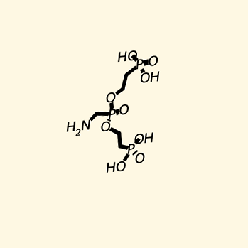 NCP(=O)(OCCP(=O)(O)O)OCCP(=O)(O)O